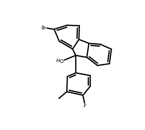 Cc1cc(C2(O)c3ccccc3-c3ccc(Br)cc32)ccc1F